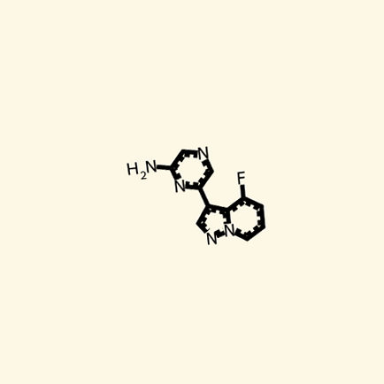 Nc1cncc(-c2cnn3cccc(F)c23)n1